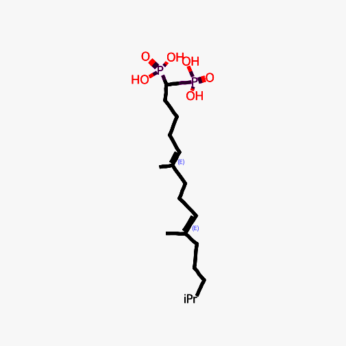 C/C(=C\CCCC(P(=O)(O)O)P(=O)(O)O)CC/C=C(\C)CCCC(C)C